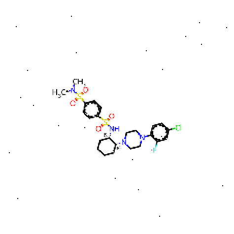 CN(C)S(=O)(=O)c1ccc(S(=O)(=O)N[C@H]2CCCC[C@H]2N2CCN(c3ccc(Cl)cc3F)CC2)cc1